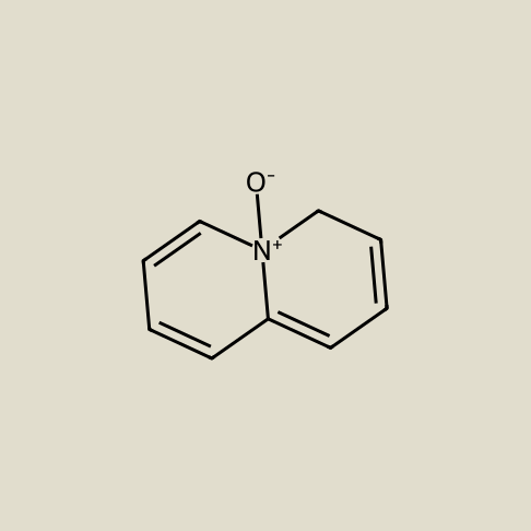 [O-][N+]12C=CC=CC1=CC=CC2